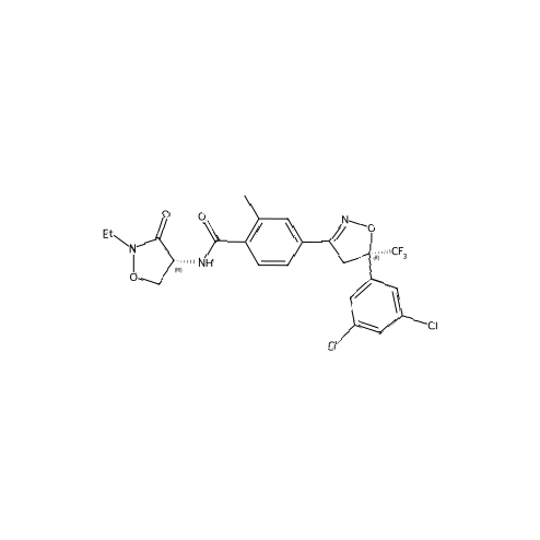 CCN1OC[C@@H](NC(=O)c2ccc(C3=NO[C@](c4cc(Cl)cc(Cl)c4)(C(F)(F)F)C3)cc2C)C1=O